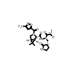 CC1(C)[C@@H]2[C@@H](C(=O)NN(C[C@@H]3CCNC3=O)C(=O)[C@H](F)Cl)N(C(=O)c3cc(C(F)(F)F)no3)C[C@@H]21